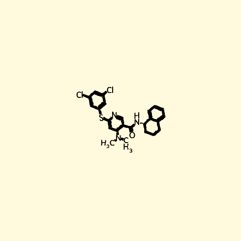 CN(C)c1cc(Sc2cc(Cl)cc(Cl)c2)ncc1C(=O)N[C@H]1CCCc2ccccc21